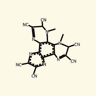 CN1c2c3c(c4nc(C#N)c(C#N)nc4c2N=C(C#N)C1C#N)N=C(C#N)C(C#N)N3C